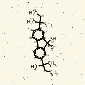 CCC(C)(C)c1ccc2c(c1)C(S)(S)c1cc(C(C)(C)CC)ccc1-2